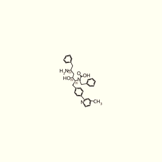 Cc1ccnc(-c2ccc(C[C@@H]([C@@H](O)C[C@@H](N)Cc3ccccc3)N(Cc3ccccc3)C(=O)O)cc2)c1